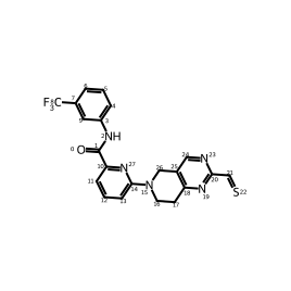 O=C(Nc1cccc(C(F)(F)F)c1)c1cccc(N2CCc3nc(C=S)ncc3C2)n1